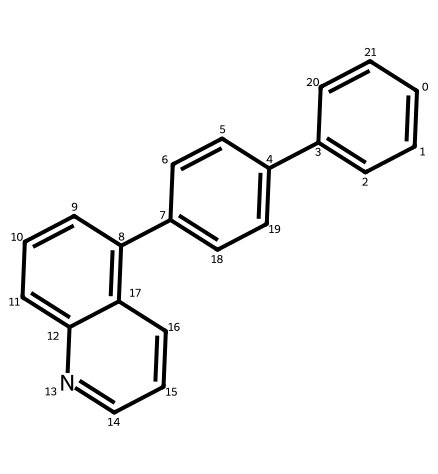 c1ccc(-c2ccc(-c3cccc4ncccc34)cc2)cc1